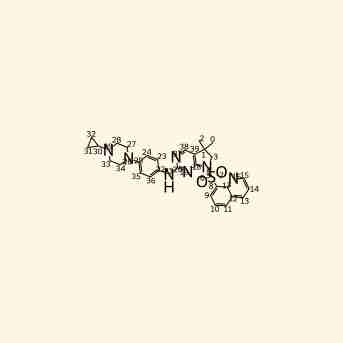 CC1(C)CN(S(=O)(=O)c2cccc3cccnc23)c2nc(Nc3ccc(N4CCN(C5CC5)CC4)cc3)ncc21